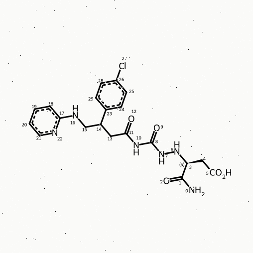 NC(=O)[C@H](CC(=O)O)NNC(=O)NC(=O)CC(CNc1ccccn1)c1ccc(Cl)cc1